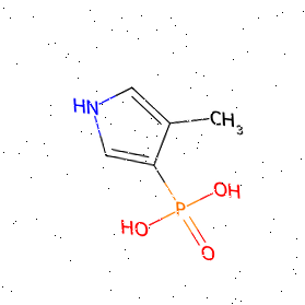 Cc1c[nH]cc1P(=O)(O)O